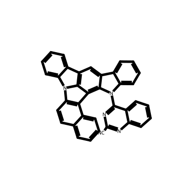 N#Cc1nc(-n2c3ccccc3c3cc4c5ccccc5n5c6ccc7ccccc7c6c(c32)c45)c2ccccc2n1